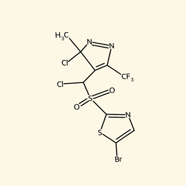 CC1(Cl)N=NC(C(F)(F)F)=C1C(Cl)S(=O)(=O)c1ncc(Br)s1